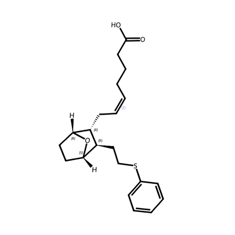 O=C(O)CCC/C=C\C[C@@H]1[C@@H](CCSc2ccccc2)[C@@H]2CC[C@H]1O2